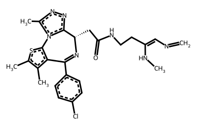 C=N/C=C(/CCNC(=O)C[C@@H]1N=C(c2ccc(Cl)cc2)c2c(sc(C)c2C)-n2c(C)nnc21)NC